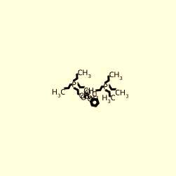 CCCC[P+](CCCC)(CCCC)CCCC.CCCC[P+](CCCC)(CCCC)CCCC.[O-]B([O-])O.c1ccccc1